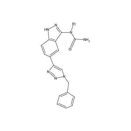 CCN(C(N)=O)c1n[nH]c2ccc(-c3cn(Cc4ccccc4)nn3)cc12